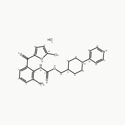 Cl.Nc1cccc(C(=O)c2ccc(Cl)o2)c1NC(=O)OCC1CCN(c2ccncc2)CC1